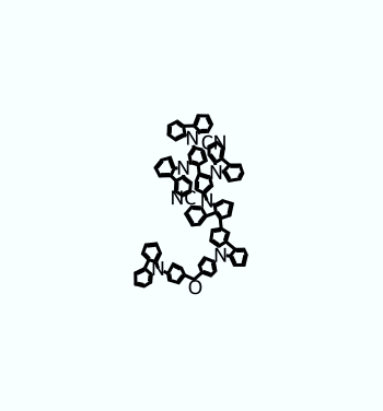 N#Cc1cc(-c2cc(C#N)c(-n3c4ccccc4c4c(-c5ccc6c(c5)c5ccccc5n6-c5ccc(C(=O)c6ccc(-n7c8ccccc8c8ccccc87)cc6)cc5)cccc43)cc2-n2c3ccccc3c3ccccc32)c(-n2c3ccccc3c3ccccc32)cc1-n1c2ccccc2c2ccccc21